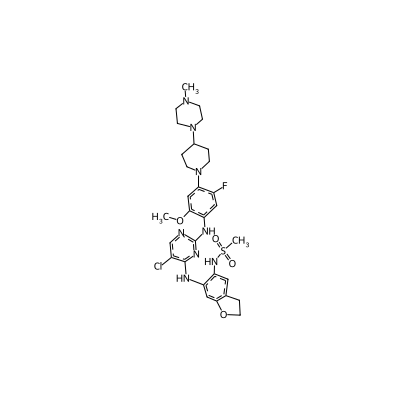 COc1cc(N2CCC(N3CCN(C)CC3)CC2)c(F)cc1Nc1ncc(Cl)c(Nc2cc3c(cc2NS(C)(=O)=O)CCO3)n1